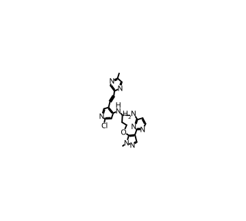 Cc1cnc(C#Cc2cnc(Cl)cc2N[C@@H](C)CCOc2c(-c3nccc(N)n3)cnn2C)cn1